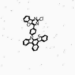 Clc1nc(-c2ccc(-n3c4ccccc4c4c5ccccc5c5c6ccccc6sc5c43)cc2)c2oc3ccccc3c2n1